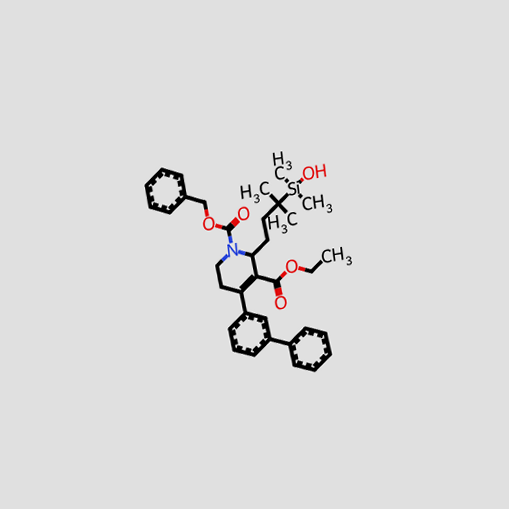 CCOC(=O)C1=C(c2cccc(-c3ccccc3)c2)CCN(C(=O)OCc2ccccc2)C1CCC(C)(C)[Si](C)(C)O